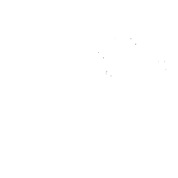 CC/C(=N/N(C)c1cc(F)c(C(=O)OC(C)(C)C)cc1F)N(C)C=O